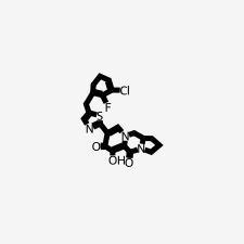 O=C1c2c(O)c(=O)c(-c3ncc(CC4=C(F)C(Cl)=CCC4)s3)cn2CC2CCCN12